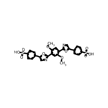 COc1cc(-c2ncc(-c3ccc(S(=O)(=O)O)cc3)o2)c(OC)cc1-c1ncc(-c2ccc(S(=O)(=O)O)cc2)o1